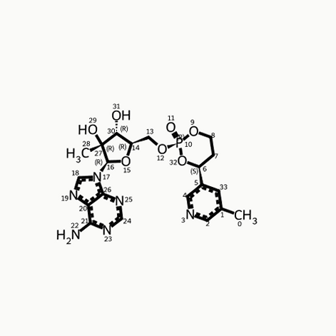 Cc1cncc([C@@H]2CCO[P@](=O)(OC[C@H]3O[C@@H](n4cnc5c(N)ncnc54)[C@](C)(O)[C@@H]3O)O2)c1